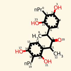 CCCc1c(O)ccc(C(C)C(=O)C(C)c2ccc(O)c(CCC)c2O)c1O